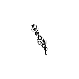 CCCCOc1ccc2c(=O)n(-c3ccc(N4CC[C@@H](N(C)C(=O)OC(C)(C)C)C4)cc3F)cnc2c1